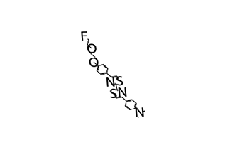 CN(C)c1ccc(-c2csc(-c3nc(-c4ccc(OCCOCCF)cc4)cs3)n2)cc1